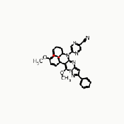 COc1ccc(-c2c(N(c3cnc(C#N)cn3)C3CC=CCC3)nc3cc(-c4ccccc4)nn3c2OC)cc1